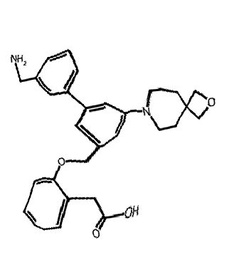 NCc1cccc(-c2cc(COc3ccccc3CC(=O)O)cc(N3CCC4(CC3)COC4)c2)c1